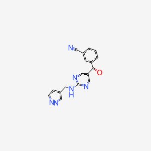 N#Cc1cccc(C(=O)c2cnc(NCc3ccnnc3)nc2)c1